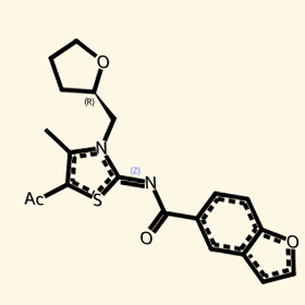 CC(=O)c1s/c(=N\C(=O)c2ccc3occc3c2)n(C[C@H]2CCCO2)c1C